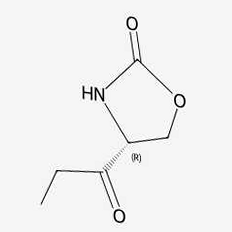 CCC(=O)[C@H]1COC(=O)N1